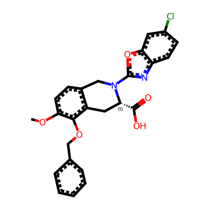 COc1ccc2c(c1OCc1ccccc1)C[C@@H](C(=O)O)N(c1nc3ccc(Cl)cc3o1)C2